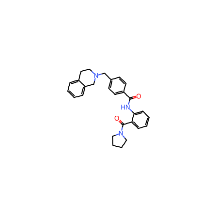 O=C(Nc1ccccc1C(=O)N1CCCC1)c1ccc(CN2CCc3ccccc3C2)cc1